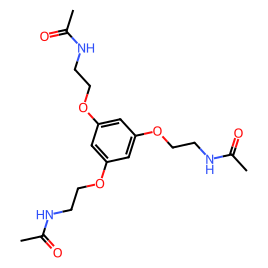 CC(=O)NCCOc1cc(OCCNC(C)=O)cc(OCCNC(C)=O)c1